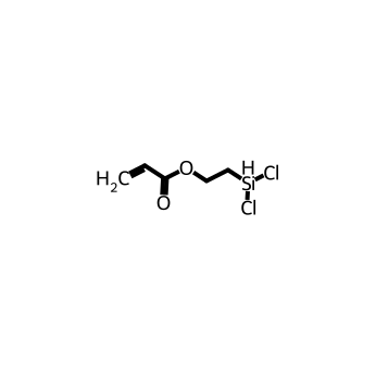 C=CC(=O)OCC[SiH](Cl)Cl